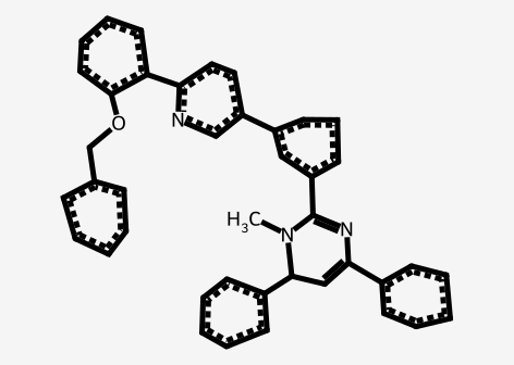 CN1C(c2cccc(-c3ccc(-c4ccccc4OCc4ccccc4)nc3)c2)=NC(c2ccccc2)=CC1c1ccccc1